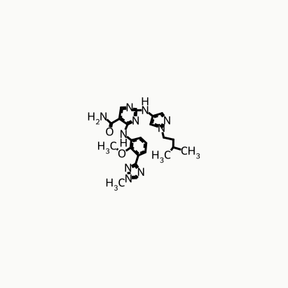 COc1c(Nc2nc(Nc3cnn(CCC(C)C)c3)ncc2C(N)=O)cccc1-c1ncn(C)n1